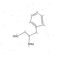 CNC(CC=O)Cc1ccccc1